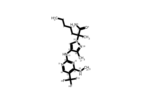 CCCCCC(C)(C(N)=O)n1cc(Nc2ncc(C(F)(F)F)c(NC)n2)c(C)n1